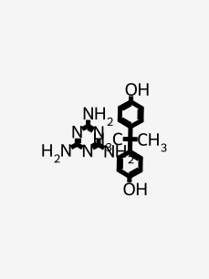 CC(C)(c1ccc(O)cc1)c1ccc(O)cc1.Nc1nc(N)nc(N)n1